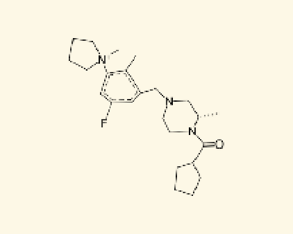 Cc1c(CN2CCN(C(=O)C3CCCC3)[C@@H](C)C2)cc(F)cc1[N+]1(C)CCCC1